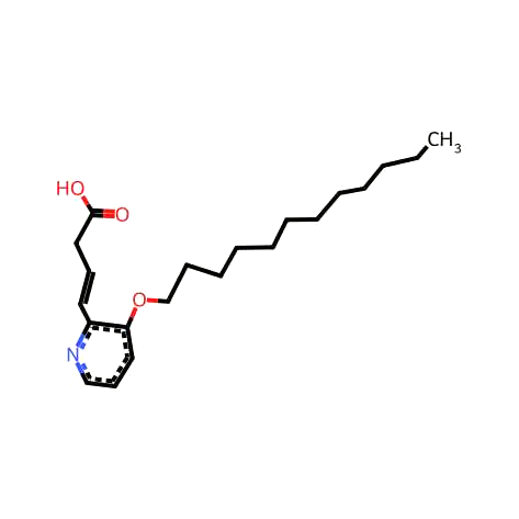 CCCCCCCCCCCCOc1cccnc1/C=C/CC(=O)O